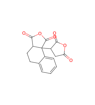 O=C1CC(C23C(=O)OC(=O)C2CCc2ccccc23)C(=O)O1